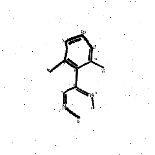 C/N=C\C(=N/C)c1c(C)cccc1C